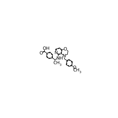 COc1ccc(CN2CCOc3ccnc(N[C@@H](C)c4ccc(C(=O)O)cc4)c32)cc1